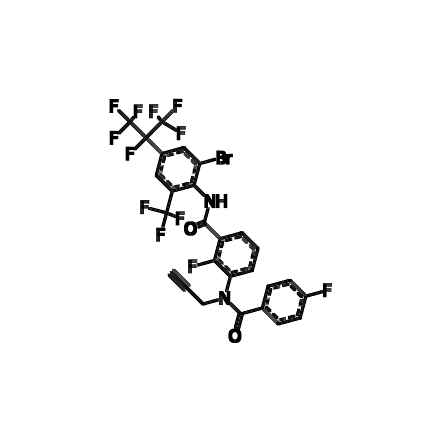 C#CCN(C(=O)c1ccc(F)cc1)c1cccc(C(=O)Nc2c(Br)cc(C(F)(C(F)(F)F)C(F)(F)F)cc2C(F)(F)F)c1F